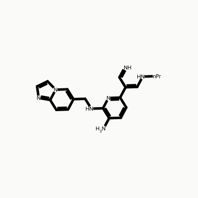 CCCN/C=C(\C=N)c1ccc(N)c(NCc2ccc3nccn3c2)n1